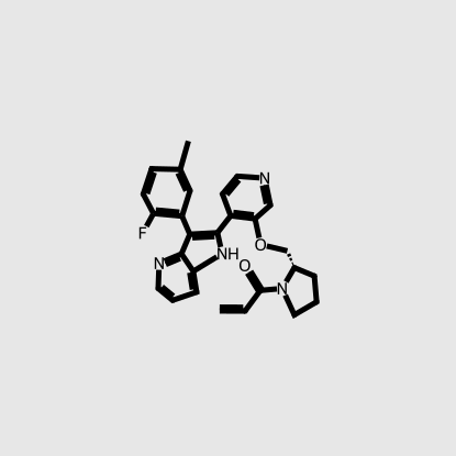 C=CC(=O)N1CCC[C@H]1COc1cnccc1-c1[nH]c2cccnc2c1-c1cc(C)ccc1F